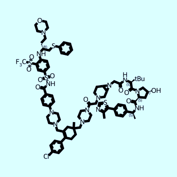 Cc1ncsc1-c1ccc([C@H](C)NC(=O)[C@@H]2C[C@@H](O)CN2C(=O)[C@@H](NC(=O)CN2C3CCN(CC(=O)N4CCN(CC5(C)CCC(c6ccc(Cl)cc6)=C(CN6CCN(c7ccc(C(=O)NS(=O)(=O)c8ccc(N[C@H](CCN9CCOCC9)CSc9ccccc9)c(S(=O)(=O)C(F)(F)F)c8)cc7)CC6)C5)CC4)CC32)C(C)(C)C)cc1